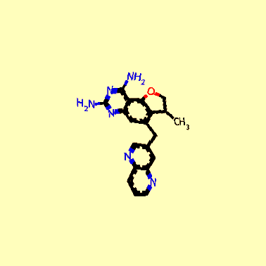 CC1COc2c1c(Cc1cnc3cccnc3c1)cc1nc(N)nc(N)c21